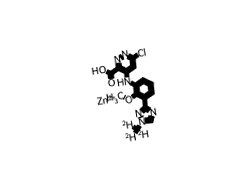 [2H]C([2H])([2H])n1cnc(-c2cccc(Nc3cc(Cl)nnc3C(=O)O)c2OC)n1.[Zn+2]